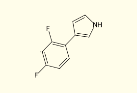 Fc1[c]c(F)c(-c2cc[nH]c2)cc1